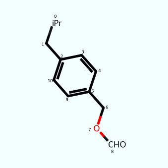 CC(C)Cc1ccc(COC=O)cc1